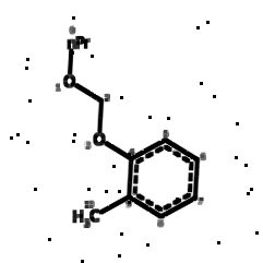 CCCOCOc1ccccc1C